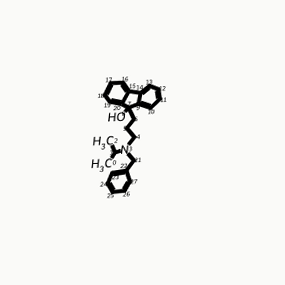 CC(C)N(CCCC1(O)c2ccccc2-c2ccccc21)Cc1ccccc1